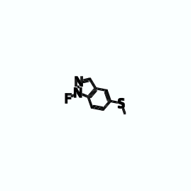 CSc1ccc2c(cnn2F)c1